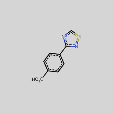 O=C(O)c1ccc(-c2ncsn2)cc1